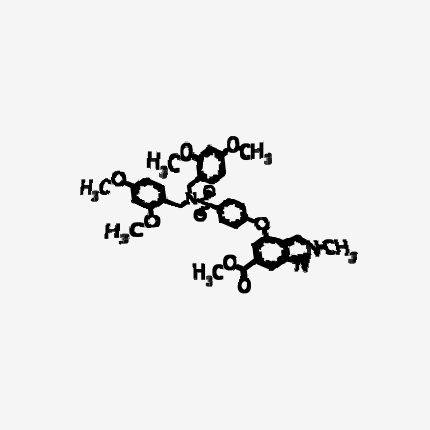 COC(=O)c1cc(Oc2ccc(S(=O)(=O)N(Cc3ccc(OC)cc3OC)Cc3ccc(OC)cc3OC)cc2)c2cn(C)nc2c1